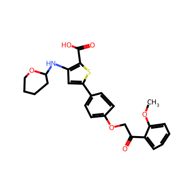 COc1ccccc1C(=O)COc1ccc(-c2cc(NC3CCCCO3)c(C(=O)O)s2)cc1